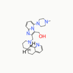 CN1CCN(c2cccc3nc(CN4CCC[C@H]5CCc6cccnc6[C@H]54)c(CO)n23)CC1